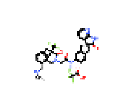 CNCc1ccccc1CN(CC(=O)Nc1ccc2c(c1)CC1(C2)C(=O)Nc2ncccc21)C(=O)C1(C(F)(F)F)CCC1.O=C(O)C(F)(F)F